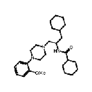 COc1ccccc1N1CCN(C[C@@H](CC2CCCCC2)NC(=O)C2CCCCC2)CC1